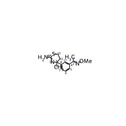 CO/N=C(\C)c1cccc(C2(C)CCSC(N)=N2)c1